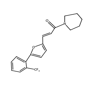 O=C(C=Cc1ccc(-c2ccccc2C(F)(F)F)o1)N1CCCCC1